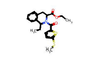 CCOC(=O)C1Cc2ccccc2C(CC)N1C(=O)c1ccc(SC)s1